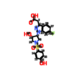 O=C(O)Cc1nn([C@H]2CN(S(=O)(=O)c3ccc(O)cc3)C[C@@H]2O)c2cc(F)ccc12